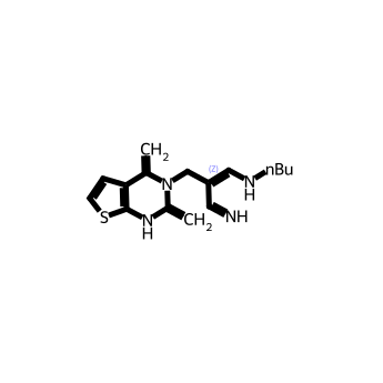 C=C1Nc2sccc2C(=C)N1C/C(C=N)=C/NCCCC